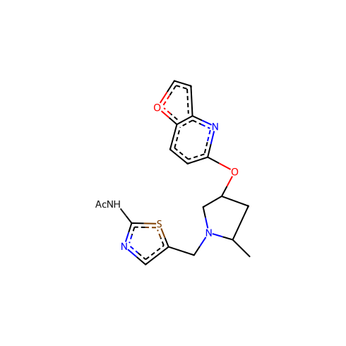 CC(=O)Nc1ncc(CN2CC(Oc3ccc4occc4n3)CC2C)s1